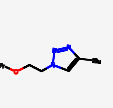 CC(C)OCCn1cc(C(C)(C)C)nn1